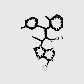 Cc1cccc(/C(=C(/OC=O)C(C)n2cnc3c(N)ncnc32)c2ccccc2C)c1